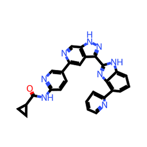 O=C(Nc1ccc(-c2cc3c(-c4nc5c(-c6ccccn6)cccc5[nH]4)n[nH]c3cn2)cn1)C1CC1